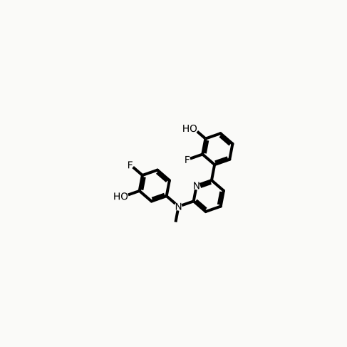 CN(c1ccc(F)c(O)c1)c1cccc(-c2cccc(O)c2F)n1